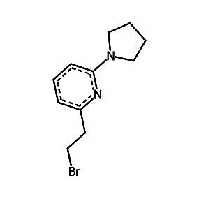 BrCCc1cccc(N2CCCC2)n1